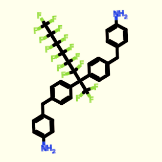 Nc1ccc(Cc2ccc(C(c3ccc(Cc4ccc(N)cc4)cc3)(C(F)(F)F)C(F)(F)C(F)(F)C(F)(F)C(F)(F)C(F)(F)C(F)(F)F)cc2)cc1